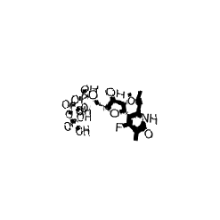 CC#Cc1[nH]c(=O)c(C)c(F)c1[C@@H]1O[C@H](COP(=O)(O)OP(=O)(O)OP(=O)(O)O)C(O)[C@@H]1OC